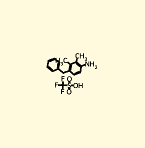 Cc1c(N)ccc(Cc2ccccc2)c1C.O=S(=O)(O)C(F)(F)F